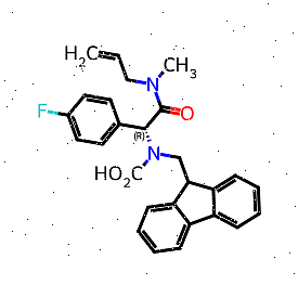 C=CCN(C)C(=O)[C@@H](c1ccc(F)cc1)N(CC1c2ccccc2-c2ccccc21)C(=O)O